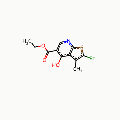 CCOC(=O)c1cnc2sc(Br)c(C)c2c1O